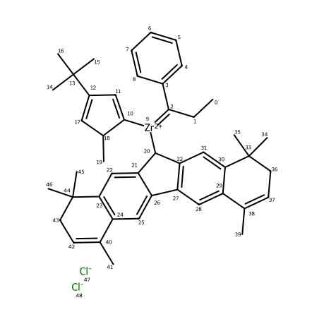 CC/[C](c1ccccc1)=[Zr+2](/[C]1=CC(C(C)(C)C)=CC1C)[CH]1c2cc3c(cc2-c2cc4c(cc21)C(C)(C)CC=C4C)C(C)=CCC3(C)C.[Cl-].[Cl-]